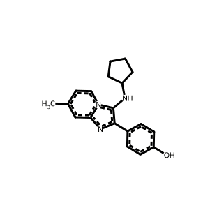 Cc1ccn2c(NC3CCCC3)c(-c3ccc(O)cc3)nc2c1